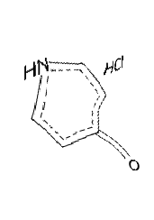 Cl.O=c1cc[nH]cc1